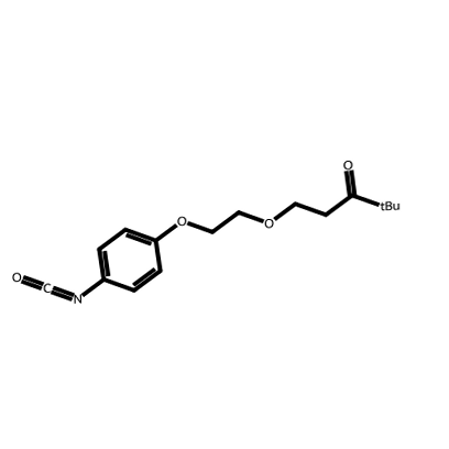 CC(C)(C)C(=O)CCOCCOc1ccc(N=C=O)cc1